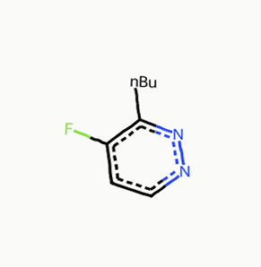 C[CH]CCc1nnccc1F